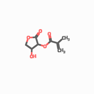 C=C(C)C(=O)OC1C(=O)OCC1O